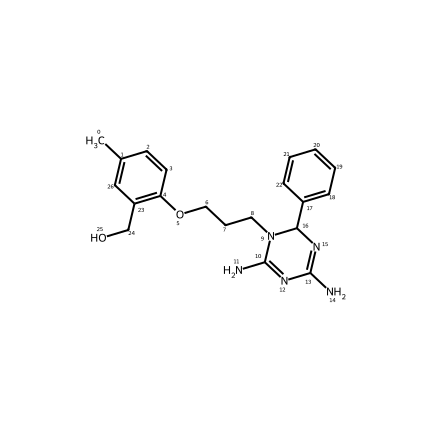 Cc1ccc(OCCCN2C(N)=NC(N)=NC2c2ccccc2)c(CO)c1